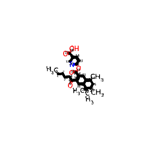 CCCCCC(=O)C1=C(C(=O)Oc2ccc(C(=O)O)cn2)CC2=C(C)CC(C)C(C)(C)C2=C1